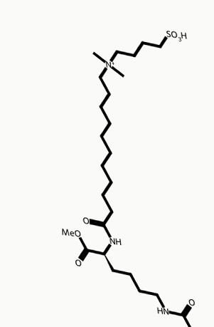 CCCCCCCCCCCC(=O)NCCCC[C@H](NC(=O)CCCCCCCCCC[N+](C)(C)CCCCS(=O)(=O)O)C(=O)OC